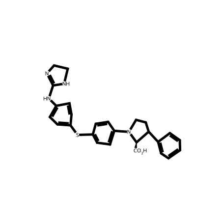 O=C(O)[C@@H]1C(c2ccccc2)CCN1c1ccc(Sc2ccc(NC3=NCCN3)cc2)cc1